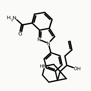 C=CCC(O)C12CNCCC1(c1ccc(-n3cc4cccc(C(N)=O)c4n3)cc1)C2